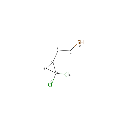 SCCC1CC1(Cl)Cl